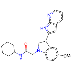 COc1ccc2c(c1)C(c1cc3cccnc3[nH]1)CN2CC(=O)NC1CCCCC1